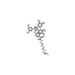 COc1cc(OC)cc(-c2nc(-c3ccc(OC)c(OC)c3)c(-c3ccc(OC)c(OC)c3)n2Cc2ccc(C(=O)NCCOCCOCCN)cc2)c1